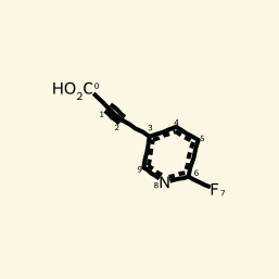 O=C(O)C#Cc1ccc(F)nc1